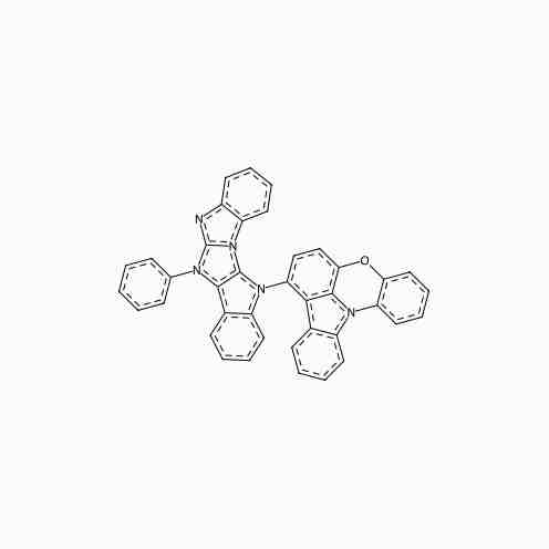 c1ccc(-n2c3c4ccccc4n(-c4ccc5c6c4c4ccccc4n6-c4ccccc4O5)c3n3c4ccccc4nc23)cc1